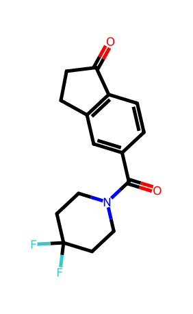 O=C1CCc2cc(C(=O)N3CCC(F)(F)CC3)ccc21